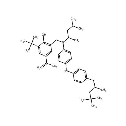 C=C(C)c1cc(CN(c2ccc(Nc3ccc(CC(C)CC(C)(C)C)cc3)cc2)C(C)CC(C)C)c(O)c(C(C)(C)C)c1